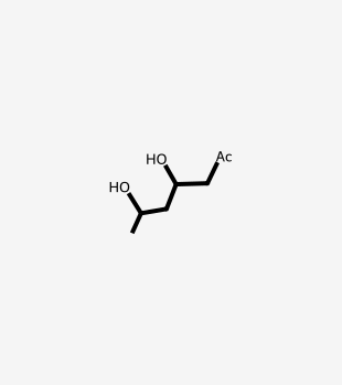 CC(=O)CC(O)CC(C)O